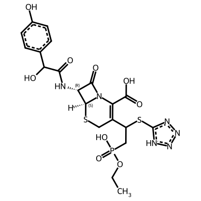 CCOP(=O)(O)CC(Sc1nnn[nH]1)C1=C(C(=O)O)N2C(=O)[C@@H](NC(=O)C(O)c3ccc(O)cc3)[C@@H]2SC1